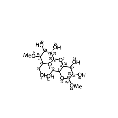 CO[C@@H]1C(CO)O[C@H](O[C@@H]2C(CO)O[C@H](OC)[C@@H](O)C2O)[C@@H](O)C1O